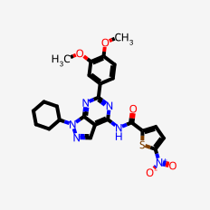 COc1ccc(-c2nc(NC(=O)c3ccc([N+](=O)[O-])s3)c3cnn(C4CCCCC4)c3n2)cc1OC